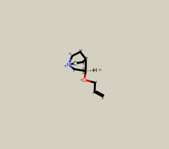 C=CCO[C@H]1CN2CCC1CC2